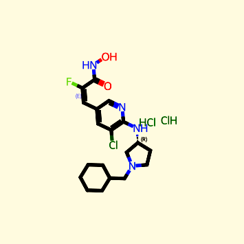 Cl.Cl.O=C(NO)/C(F)=C\c1cnc(N[C@@H]2CCN(CC3CCCCC3)C2)c(Cl)c1